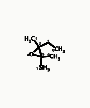 CCC1(C)OC1(C)[SiH3]